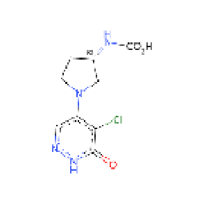 O=C(O)N[C@H]1CCN(c2cn[nH]c(=O)c2Cl)C1